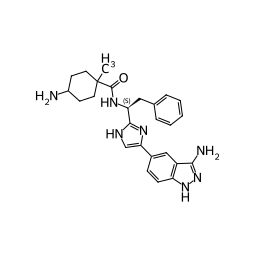 CC1(C(=O)N[C@@H](Cc2ccccc2)c2nc(-c3ccc4[nH]nc(N)c4c3)c[nH]2)CCC(N)CC1